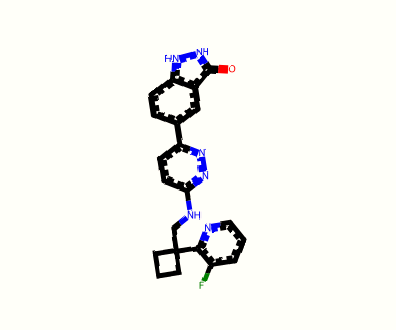 O=c1[nH][nH]c2ccc(-c3ccc(NCC4(c5ncccc5F)CCC4)nn3)cc12